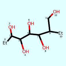 CCC(O)C(O)C(O)C(O)C(CC)CO